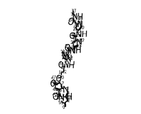 C=C1C[C@H]2C=Nc3cc(OCCCC(=O)Nc4cn(C)c(C(=O)Nc5cc(C(=O)Nc6cc(C(=O)NCC)n(C)c6)n(C)c5)n4)c(OC)cc3C(=O)N2C1